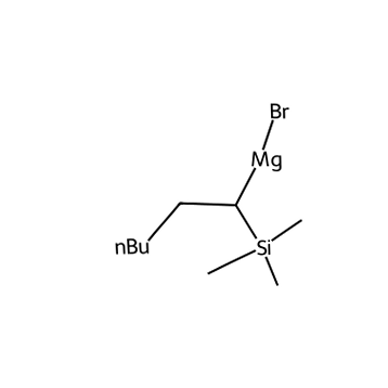 CCCCC[CH]([Mg][Br])[Si](C)(C)C